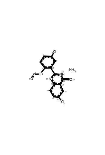 N.O=POc1ccc(Cl)cc1-c1nc2ccc(Cl)cc2c(=O)[nH]1